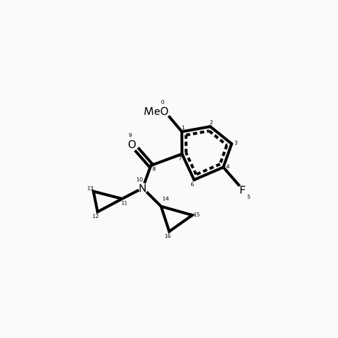 COc1ccc(F)cc1C(=O)N(C1CC1)C1CC1